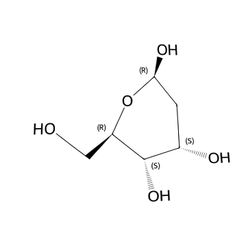 OC[C@H]1O[C@@H](O)C[C@H](O)[C@@H]1O